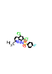 Cc1ccc2c(Cl)cc(Cl)c(NS(=O)(=O)c3ccc(F)cc3)c2n1